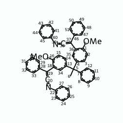 COc1ccc(C(C)(c2ccccc2)c2ccc(OC)c(C(=C=Nc3ccccc3)c3ccccc3)c2)cc1C(=C=Nc1ccccc1)c1ccccc1